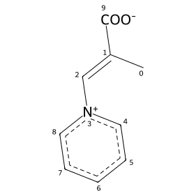 CC(=C[n+]1ccccc1)C(=O)[O-]